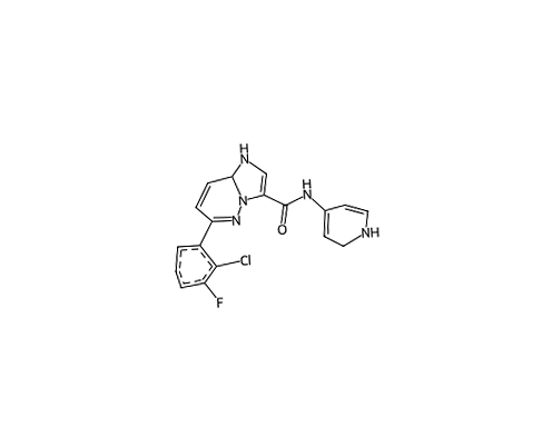 O=C(NC1=CCNC=C1)C1=CNC2C=CC(c3cccc(F)c3Cl)=NN12